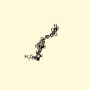 CCOc1cc(-c2ccc(N3CCC(CN4CCC5(CC4)CCN(C(=O)CCN4CCC(c6ccc7c(c6)CN(C6CCC(=O)NC6=O)C7=O)CC4)CC5)(NC(=O)c4cc(F)ccc4F)CC3)nc2)c2c(C#N)cnn2c1